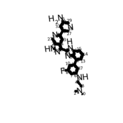 CN(C)CCNc1cc(F)cc(-c2cccc3[nH]c(-c4n[nH]c5cnc(-c6cncc(N)c6)cc45)nc23)c1